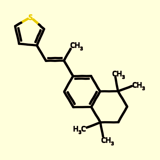 C/C(=C\c1ccsc1)c1ccc2c(c1)C(C)(C)CCC2(C)C